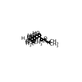 CCN(CC)CCNC(=O)c1cccc(-c2ccc(O)c3c2C[C@H]2C[C@H]4[C@@H](N(C)C)C(O)=C(C(N)=O)C(=O)[C@@]4(O)C(O)=C2C3=O)c1